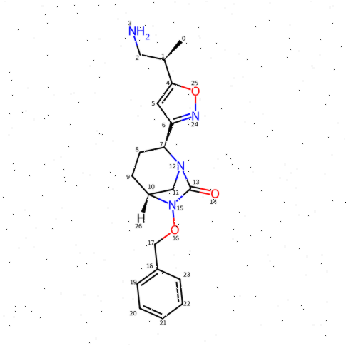 C[C@H](CN)c1cc([C@@H]2CC[C@@H]3CN2C(=O)N3OCc2ccccc2)no1